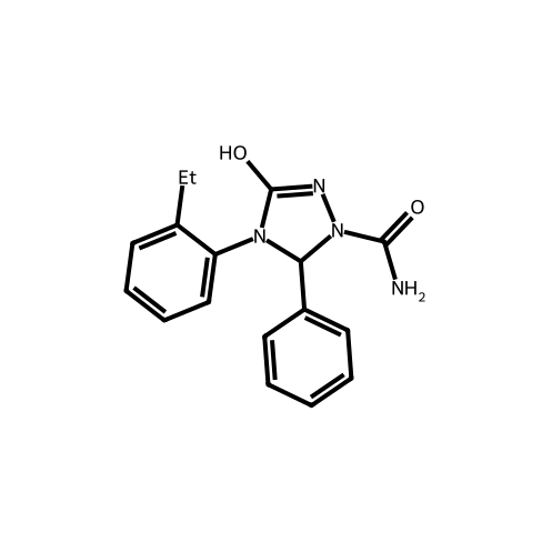 CCc1ccccc1N1C(O)=NN(C(N)=O)C1c1ccccc1